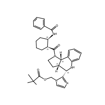 CC(C)(C)C(=O)OCn1ccnc1[C@H]1Nc2ccccc2[C@@H]2[C@H]1CCN2C(=O)[C@H]1CCCC[C@H]1NC(=O)c1ccccc1